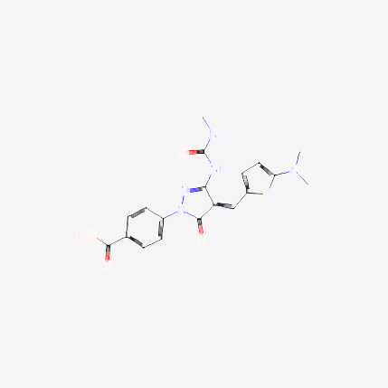 CNC(=O)NC1=NN(c2ccc(C(=O)O)cc2)C(=O)/C1=C/c1ccc(N(C)C)s1